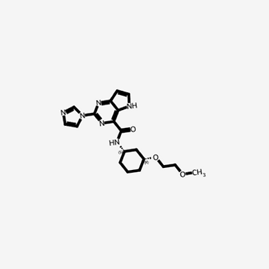 COCCO[C@@H]1CCC[C@H](NC(=O)c2nc(-n3ccnc3)nc3cc[nH]c23)C1